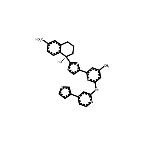 Cc1cc(Nc2cc(-c3ccsc3)ccn2)nc(-c2cnc([C@]3(O)CCCc4cc(C(=O)O)ccc43)s2)c1